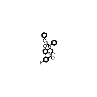 C[C@@H]1C[C@H](N(C(=O)COc2ccccc2)c2ccccc2)c2ccccc2N1C(=O)c1ccc(F)cc1